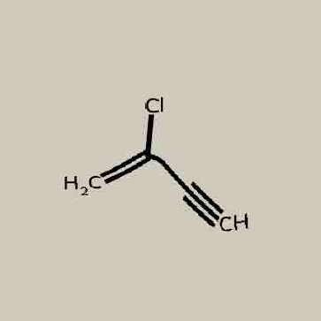 C#CC(=C)Cl